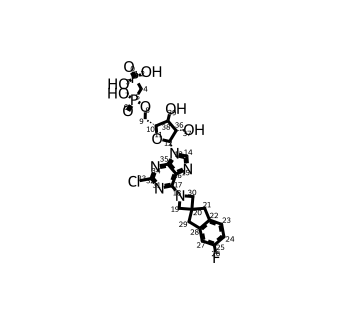 O=P(O)(O)CP(=O)(O)OC[C@H]1O[C@@H](n2cnc3c(N4CC5(Cc6ccc(F)cc6C5)C4)nc(Cl)nc32)[C@@H](O)C1O